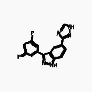 Fc1cc(F)cc(-c2n[nH]c3ccc(-c4nc[nH]n4)cc23)c1